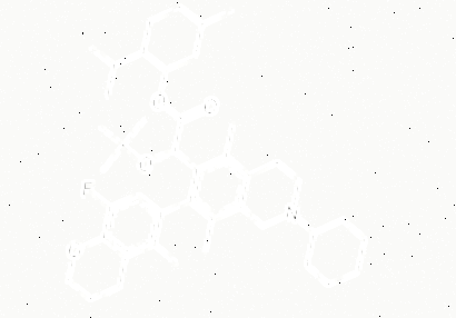 Cc1c(-c2c(C)c3c(c(C)c2[C@H](OC(C)(C)C)C(=O)OC2CC(C)CCC2C(C)C)CCN(C2CCCCC2)C3)cc(F)c2c1CCCO2